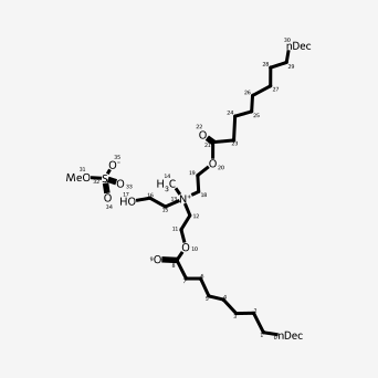 CCCCCCCCCCCCCCCCCC(=O)OCC[N+](C)(CCO)CCOC(=O)CCCCCCCCCCCCCCCCC.COS(=O)(=O)[O-]